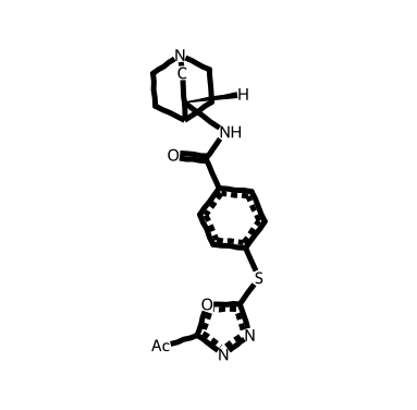 CC(=O)c1nnc(Sc2ccc(C(=O)N[C@H]3CN4CCC3CC4)cc2)o1